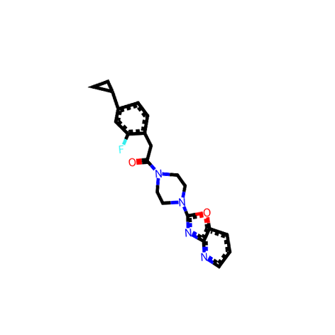 O=C(Cc1ccc(C2CC2)cc1F)N1CCN(c2nc3ncccc3o2)CC1